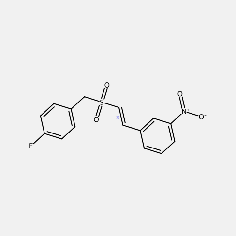 O=[N+]([O-])c1cccc(/C=C/S(=O)(=O)Cc2ccc(F)cc2)c1